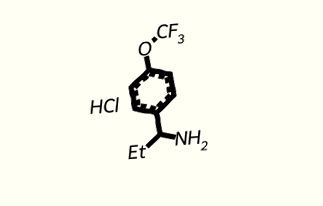 CCC(N)c1ccc(OC(F)(F)F)cc1.Cl